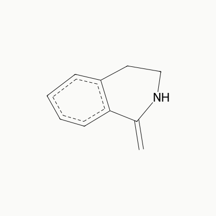 C=C1NCCc2ccccc21